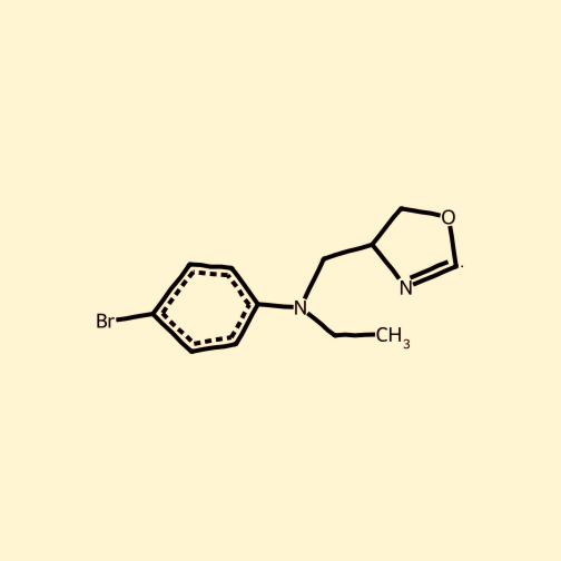 CCN(CC1CO[C]=N1)c1ccc(Br)cc1